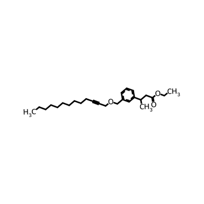 CCCCCCCCCCC#CCOCc1cccc(C(C)CC(=O)OCC)c1